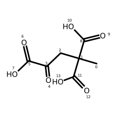 CC(CC(=O)C(=O)O)(C(=O)O)C(=O)O